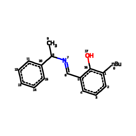 CCCCc1cccc(C=NC(C)c2ccccc2)c1O